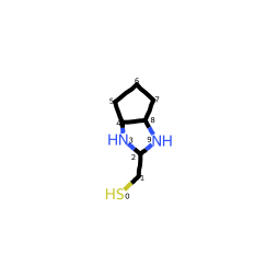 SCC1NC2CCCC2N1